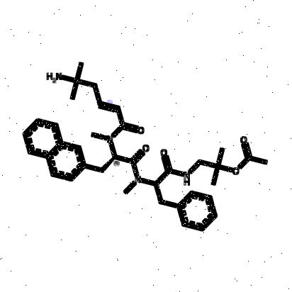 CC(=O)OC(C)(C)CNC(=O)C(Cc1ccccc1)N(C)C(=O)[C@@H](Cc1ccc2ccccc2c1)N(C)C(=O)/C=C/CC(C)(C)N